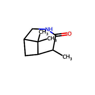 CC1C(=O)NCC2CC1C2(C)C